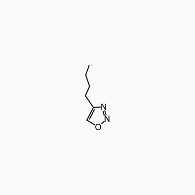 [CH2]CCCc1conn1